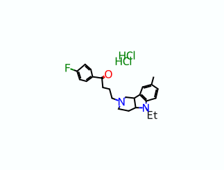 CCN1c2ccc(C)cc2C2CN(CCCC(=O)c3ccc(F)cc3)CCC21.Cl.Cl